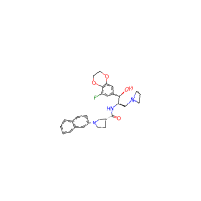 O=C(N[C@H](CN1CCC1)[C@H](O)c1cc(F)c2c(c1)OCCO2)[C@@H]1CCN(c2ccc3ccccc3c2)C1